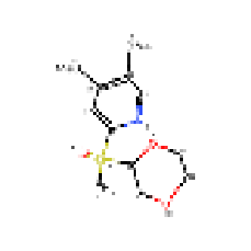 COc1cnc([SH](C)(=O)C2COCCO2)cc1OC